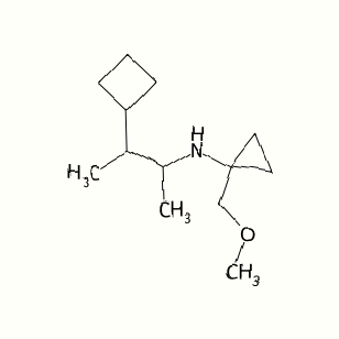 COCC1(NC(C)C(C)C2CCC2)CC1